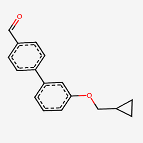 O=Cc1ccc(-c2cccc(OCC3CC3)c2)cc1